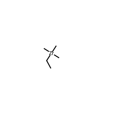 C[CH2][Zr]([CH3])([CH3])[CH3]